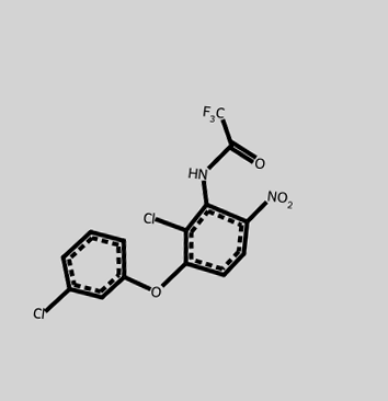 O=C(Nc1c([N+](=O)[O-])ccc(Oc2cccc(Cl)c2)c1Cl)C(F)(F)F